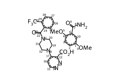 COc1ccc(OC)c(C(N)=O)c1.O=C(O)c1nnccc1N1CCN(C(=O)c2ccccc2C(F)(F)F)CC1